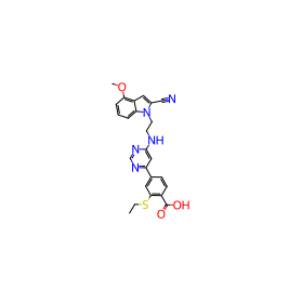 CCSc1cc(-c2cc(NCCn3c(C#N)cc4c(OC)cccc43)ncn2)ccc1C(=O)O